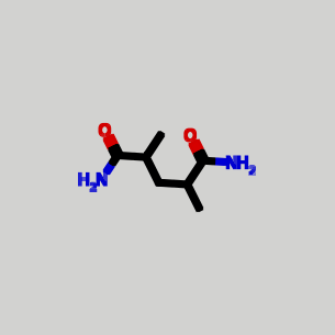 C[C](CC(C)C(N)=O)C(N)=O